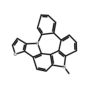 Cn1c2cccc3c4ccccc4n4c5ccoc5c5ccc1c(c32)c54